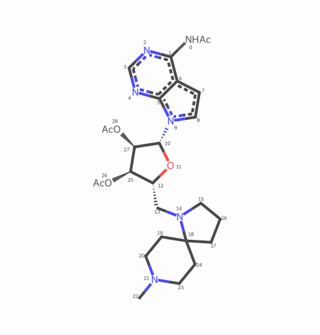 CC(=O)Nc1ncnc2c1ccn2[C@@H]1O[C@H](CN2CCCC23CCN(C)CC3)[C@@H](OC(C)=O)[C@H]1OC(C)=O